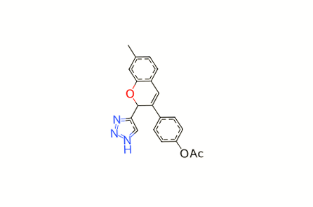 CC(=O)Oc1ccc(C2=Cc3ccc(C)cc3OC2c2c[nH]nn2)cc1